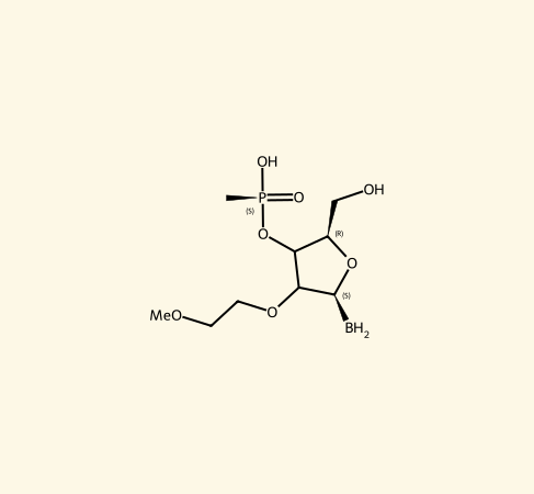 B[C@@H]1O[C@H](CO)C(O[P@@](C)(=O)O)C1OCCOC